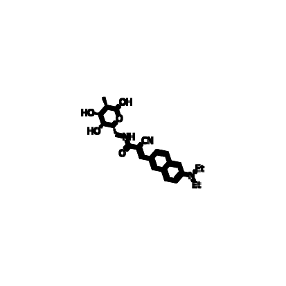 CCN(CC)c1ccc2cc(/C=C(\C#N)C(=O)NC[C@H]3OC(O)[C@H](C)[C@@H](O)[C@@H]3O)ccc2c1